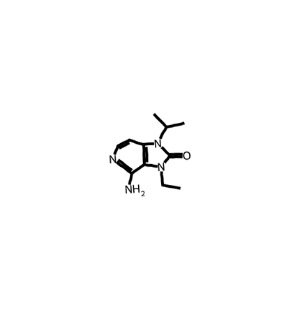 CCn1c(=O)n(C(C)C)c2ccnc(N)c21